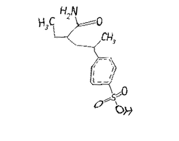 CCC(CC(C)c1ccc(S(=O)(=O)O)cc1)C(N)=O